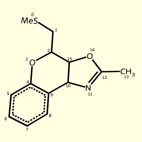 CSCC1Oc2ccccc2C2N=C(C)OC12